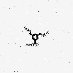 COC(=O)c1cc(CN=C=S)cc(CN=C=S)c1